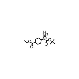 CCOC(=O)C1CCC(=[N+](N)C(=O)OC(C)(C)C)CC1